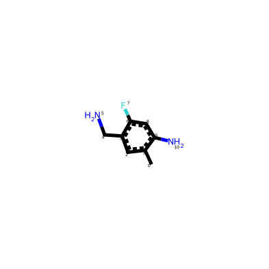 Cc1cc(CN)c(F)cc1N